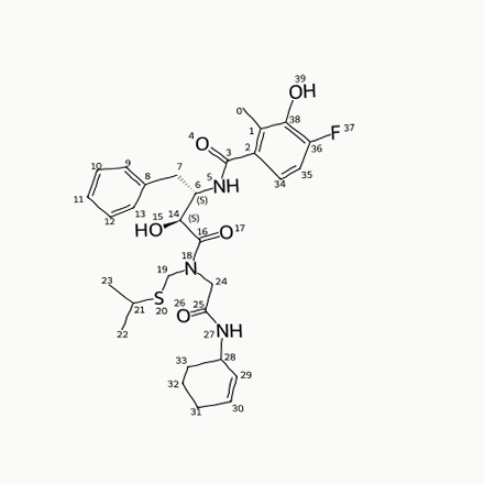 Cc1c(C(=O)N[C@@H](Cc2ccccc2)[C@H](O)C(=O)N(CSC(C)C)CC(=O)NC2C=CCCC2)ccc(F)c1O